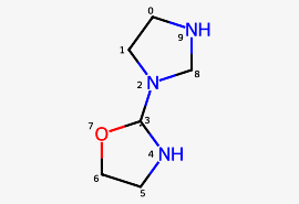 C1CN([C]2NCCO2)CN1